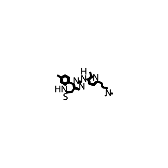 Cc1ccc2c(c1)NC(=S)Cc1cnc(Nc3ccc(CCCN(C)C)nc3C)nc1-2